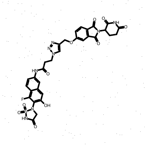 O=C1CCC(N2C(=O)c3ccc(OCc4cn(CCC(=O)Nc5ccc6c(F)c(N7CC(=O)NS7(=O)=O)c(O)cc6c5)nn4)cc3C2=O)C(=O)N1